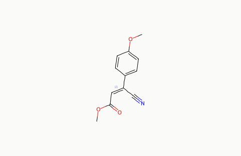 COC(=O)/C=C(\C#N)c1ccc(OC)cc1